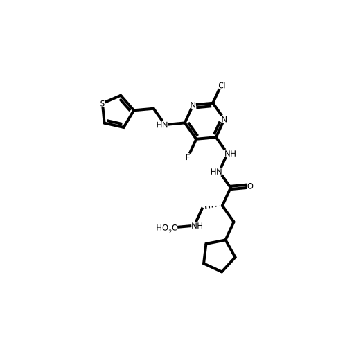 O=C(O)NC[C@@H](CC1CCCC1)C(=O)NNc1nc(Cl)nc(NCc2ccsc2)c1F